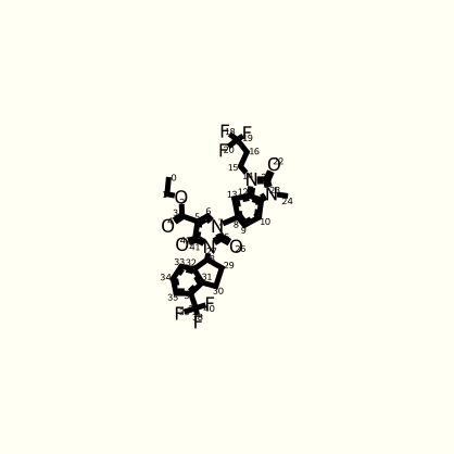 CCOC(=O)c1cn(-c2ccc3c(c2)n(CCC(F)(F)F)c(=O)n3C)c(=O)n(C2CCc3c2cccc3C(F)(F)F)c1=O